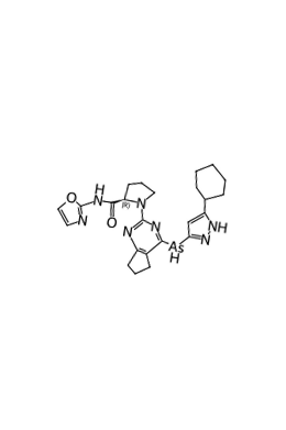 O=C(Nc1ncco1)[C@H]1CCCN1c1nc2c(c([AsH]c3cc(C4CCCCC4)[nH]n3)n1)CCC2